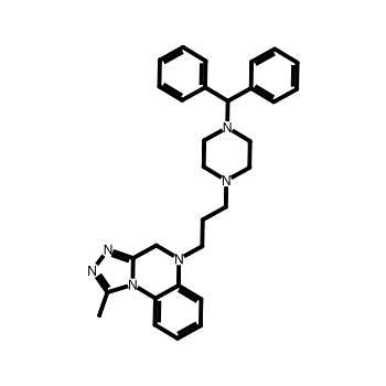 Cc1nnc2n1-c1ccccc1N(CCCN1CCN(C(c3ccccc3)c3ccccc3)CC1)C2